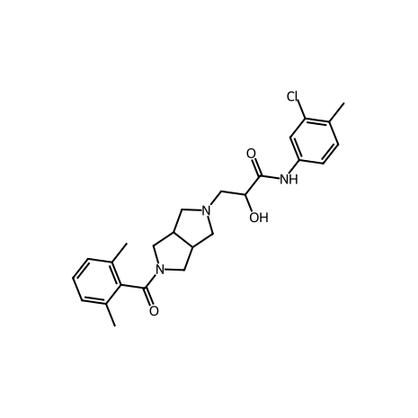 Cc1ccc(NC(=O)C(O)CN2CC3CN(C(=O)c4c(C)cccc4C)CC3C2)cc1Cl